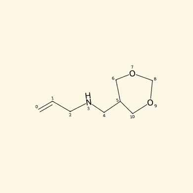 C=CCNCC1COCOC1